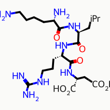 CC(C)C[C@H](NC(=O)[C@@H](N)CCCCN)C(=O)N[C@@H](CCCNC(=N)N)C(=O)N[C@H](CC(=O)O)C(=O)O